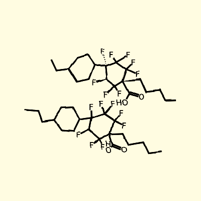 CCCCCC1(C(=O)O)C(F)(F)C(F)C(F)(C2CCC(CCC)CC2)C(F)(F)C1(F)F.CCCCC[C@@]1(C(=O)O)C(F)(F)[C@@H](F)[C@@](F)(C2CCC(CC)CC2)C(F)(F)C1(F)F